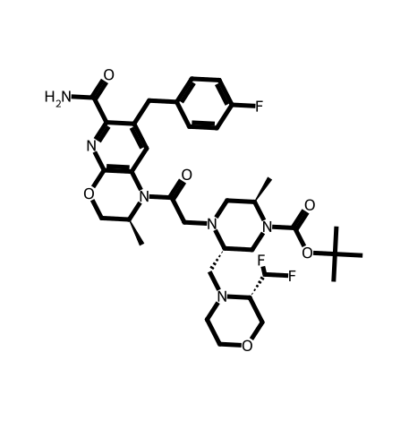 C[C@@H]1CN(CC(=O)N2c3cc(Cc4ccc(F)cc4)c(C(N)=O)nc3OC[C@@H]2C)[C@@H](CN2CCOC[C@H]2C(F)F)CN1C(=O)OC(C)(C)C